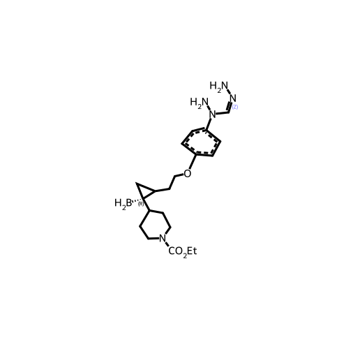 B[C@]1(C2CCN(C(=O)OCC)CC2)CC1CCOc1ccc(N(N)/C=N\N)cc1